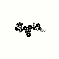 CC(C)(C)OC(=O)N1CCC[C@H]1c1ncc(-c2ccc3c4ccc(-c5cnc([C@@H]6CCCN6C(=O)OC(C)(C)C)[nH]5)cc4n(S(=O)(=O)c4ccccc4)c3c2)[nH]1